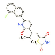 CC(C)C(/C=C1\SC(=O)NC1=O)c1ccc(-c2ccc3cccc(F)c3c2)[nH]c1=O